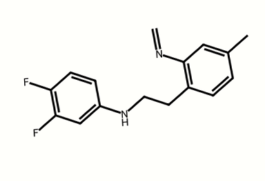 C=Nc1cc(C)ccc1CCNc1ccc(F)c(F)c1